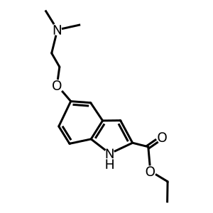 CCOC(=O)c1cc2cc(OCCN(C)C)ccc2[nH]1